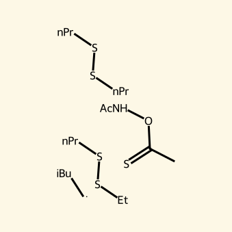 CC(=O)NOC(C)=S.CCCSSCC.CCCSSCCC.[CH2]C(C)CC